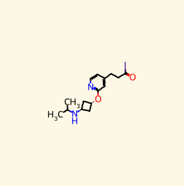 CC(C)N[C@H]1C[C@H](Oc2cc(CCC(=O)I)ccn2)C1